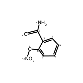 NC(=O)c1ccccc1O[N+](=O)[O-]